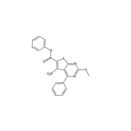 CSc1nc(-c2ccccc2)c2c(N)c(C(=O)Oc3ccccc3)sc2n1